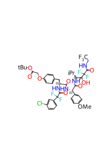 COc1ccc([C@H](NC(=O)[C@H](Cc2ccc(OCC(=O)OC(C)(C)C)cc2)NC(=O)C(F)(F)c2cccc(Cl)c2)C(=O)N[C@@H](C(C)C)[C@@H](O)C(F)(F)C(=O)NCC(F)(F)F)cc1